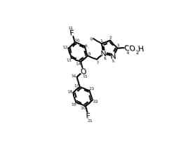 Cc1cc(C(=O)O)nn1Cc1cc(F)ccc1OCc1ccc(F)cc1